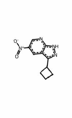 O=[N+]([O-])c1cnc2[nH]nc(C3CCC3)c2c1